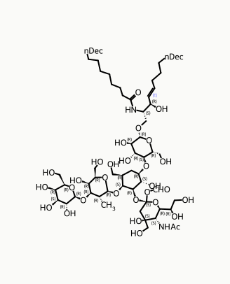 CCCCCCCCCCCCC/C=C/[C@@H](O)[C@H](CO[C@@H]1O[C@H](CO)[C@@H](O[C@@H]2C[C@H](CO)[C@H](O[C@@H]3O[C@H](CO)[C@H](O)[C@H](O[C@@H]4O[C@H](CO)[C@H](O)[C@H](O)[C@H]4O)[C@H]3C)[C@H](O[C@]3(OC=O)C[C@@](O)(CO)[C@@H](NC(C)=O)[C@H]([C@H](O)CO)O3)[C@H]2O)[C@H](O)[C@H]1O)NC(=O)CCCCCCCCCCCCCCCCC